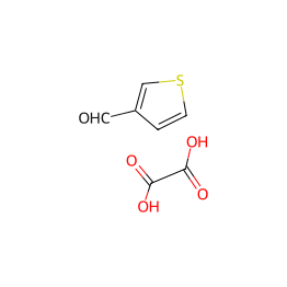 O=C(O)C(=O)O.O=Cc1ccsc1